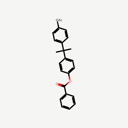 CC(=O)Oc1ccc(C(C)(C)c2ccc(OC(=O)c3ccccc3)cc2)cc1